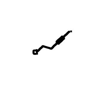 [CH2]C#CCCCl